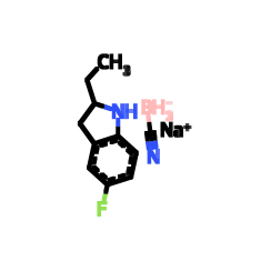 CCC1Cc2cc(F)ccc2N1.[BH3-]C#N.[Na+]